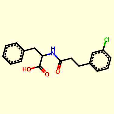 O=C(CCc1cccc(Cl)c1)NC(Cc1ccccc1)C(=O)O